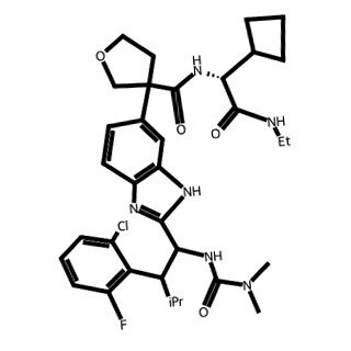 CCNC(=O)[C@H](NC(=O)C1(c2ccc3nc(C(NC(=O)N(C)C)C(c4c(F)cccc4Cl)C(C)C)[nH]c3c2)CCOC1)C1CCC1